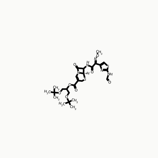 CON=C(C(=O)NC1C(=O)N2C=C(C(=O)OC(COC(C)(C)C)COC(C)(C)C)CS[C@H]12)c1csc(NC=O)n1